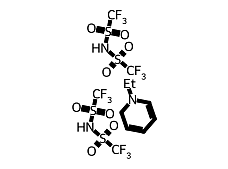 CCN1C=CC=CC1.O=S(=O)(NS(=O)(=O)C(F)(F)F)C(F)(F)F.O=S(=O)(NS(=O)(=O)C(F)(F)F)C(F)(F)F